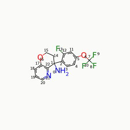 NC1(c2ccc(OC(F)(F)F)cc2F)CCOc2cccnc21